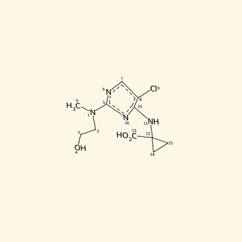 CN(CCO)c1ncc(Cl)c(NC2(C(=O)O)CC2)n1